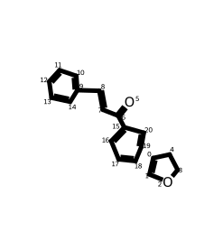 C1=COCC1.O=C(C=Cc1ccccc1)c1ccccc1